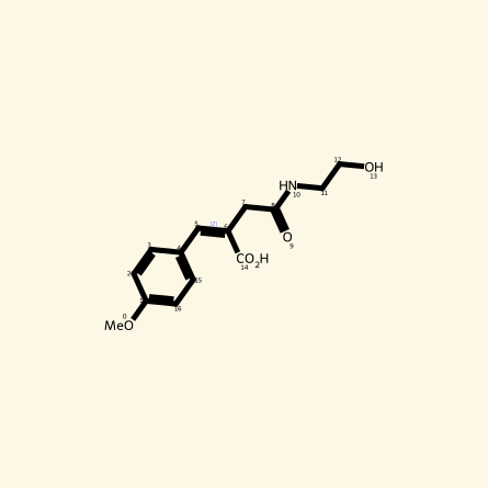 COc1ccc(/C=C(/CC(=O)NCCO)C(=O)O)cc1